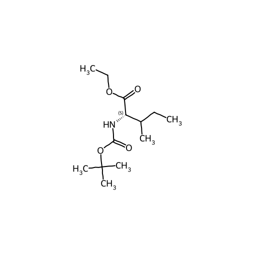 CCOC(=O)[C@@H](NC(=O)OC(C)(C)C)C(C)CC